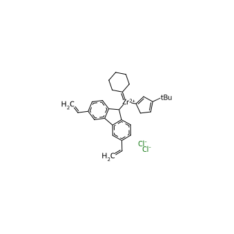 C=Cc1ccc2c(c1)-c1cc(C=C)ccc1[CH]2[Zr+2]([C]1=CC(C(C)(C)C)=CC1)=[C]1CCCCC1.[Cl-].[Cl-]